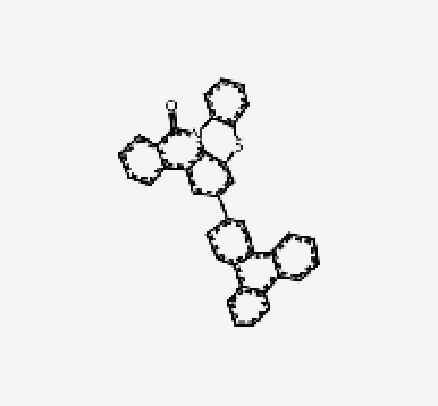 O=c1c2ccccc2c2cc(-c3ccc4c5ccccc5c5ccccc5c4c3)cc3c2n1-c1ccccc1S3